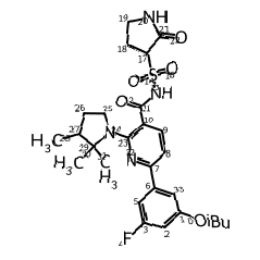 CC(C)COc1cc(F)cc(-c2ccc(C(=O)NS(=O)(=O)C3CCNC3=O)c(N3CCC(C)C3(C)C)n2)c1